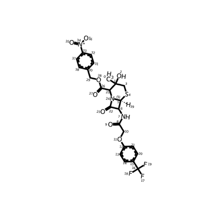 CC1(O)CS[C@H]2C(NC(=O)COc3ccc(C(F)(F)F)cc3)C(=O)N2C1C(=O)OCc1ccc([N+](=O)[O-])cc1